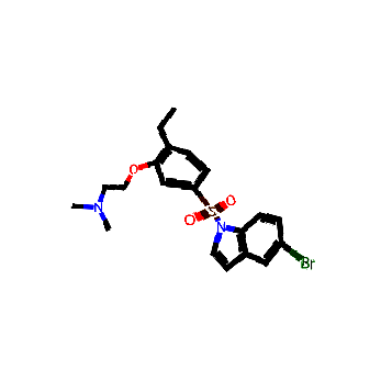 CCc1ccc(S(=O)(=O)n2ccc3cc(Br)ccc32)cc1OCCN(C)C